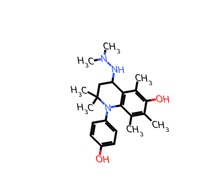 Cc1c(C)c2c(c(C)c1O)C(NN(C)C)CC(C)(C)N2c1ccc(O)cc1